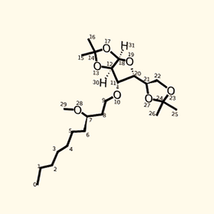 CCCCCCC[C@H](CCO[C@@H]1[C@H]2OC(C)(C)O[C@H]2O[C@@H]1[C@H]1COC(C)(C)O1)OC